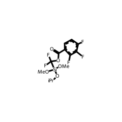 CO[Si](OC)(OC(C)C)C(F)(F)OC(=O)c1ccc(F)c(F)c1F